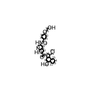 O=C(Nc1cnc2[nH]c(C(=O)N3C[C@@H](CCl)c4c3cc(O)c3ccccc43)cc2c1)c1ccc(OCCO)cc1